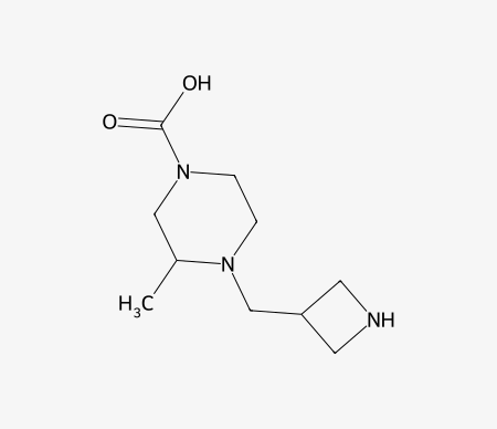 CC1CN(C(=O)O)CCN1CC1CNC1